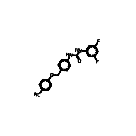 N#Cc1ccc(OCc2ccc(NC(=O)Nc3cc(F)cc(F)c3)cc2)cc1